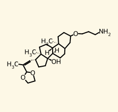 C/C(=C/[C@H]1CC[C@@]2(O)[C@@H]3CCC4CC(OCCCN)CC[C@]4(C)[C@H]3CC[C@]12C)C1OCCO1